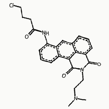 CN(C)CCN1C(=O)c2cccc3cc4c(NC(=O)CCCCl)cccc4c(c23)C1=O